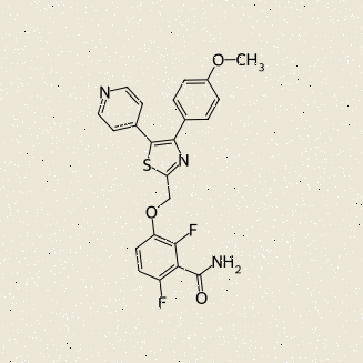 COc1ccc(-c2nc(COc3ccc(F)c(C(N)=O)c3F)sc2-c2ccncc2)cc1